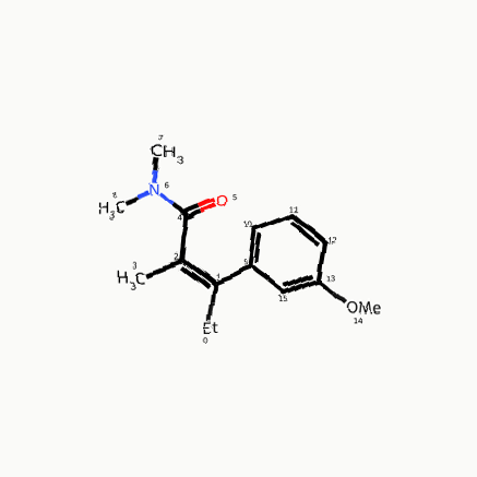 CC/C(=C(\C)C(=O)N(C)C)c1cccc(OC)c1